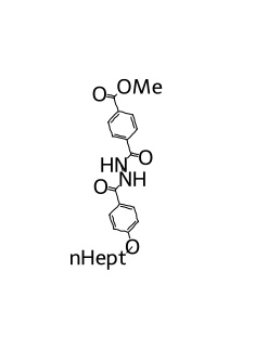 CCCCCCCOc1ccc(C(=O)NNC(=O)c2ccc(C(=O)OC)cc2)cc1